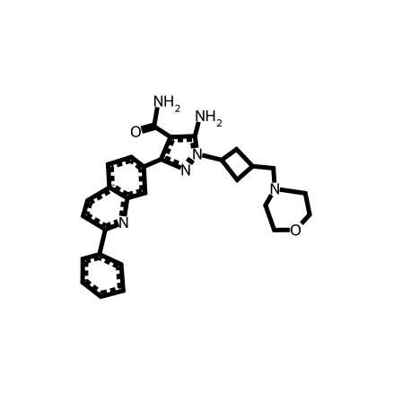 NC(=O)c1c(-c2ccc3ccc(-c4ccccc4)nc3c2)nn(C2CC(CN3CCOCC3)C2)c1N